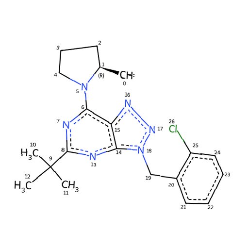 [CH][C@@H]1CCCN1c1nc(C(C)(C)C)nc2c1nnn2Cc1ccccc1Cl